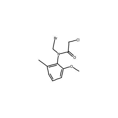 COc1cccc(C)c1N(CBr)C(=O)CCl